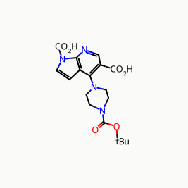 CC(C)(C)OC(=O)N1CCN(c2c(C(=O)O)cnc3c2ccn3C(=O)O)CC1